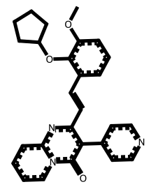 COc1cccc(/C=C/c2nc3ccccn3c(=O)c2-c2ccncc2)c1OC1CCCC1